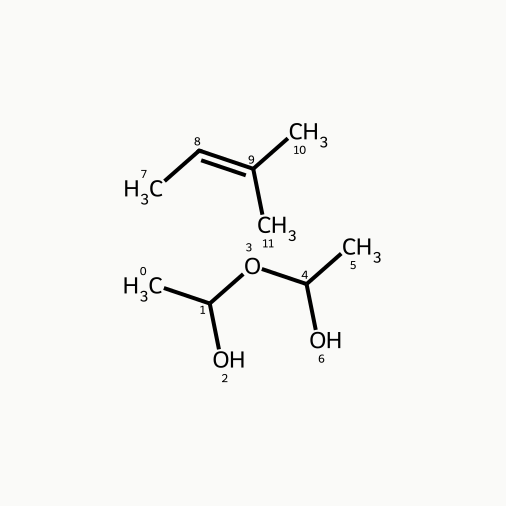 CC(O)OC(C)O.CC=C(C)C